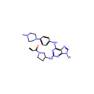 C=CC(=O)N1CCC(Nc2nc(Nc3ccc(N4CCN(C)CC4)cc3)c3ncn(C(C)C)c3n2)C1